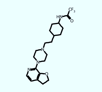 O=C(NC1CCC(CCN2CCN(c3nccc4c3OCC4)CC2)CC1)C(F)(F)F